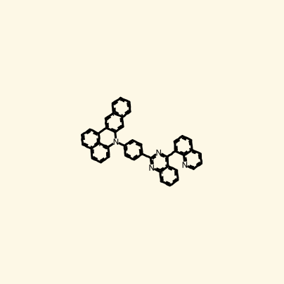 c1ccc2cc3c(cc2c1)-c1cccc2cccc(c12)N3c1ccc(-c2nc(-c3cccc4cccnc34)c3ccccc3n2)cc1